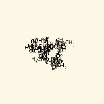 CCc1ccc(COc2ccc(-n3c(=O)cc(C(F)(F)F)n(C)c3=O)cc2)c(OC(C)C(=O)OC)c1.COc1nc(C)nc(NC(=O)NS(=O)(=O)c2ccccc2CCC(F)(F)F)n1.C[S+](C)C.O=C(O)CNCP(=O)([O-])O